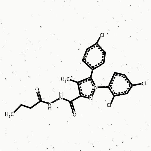 CCCC(=O)NNC(=O)c1nn(-c2ccc(Cl)cc2Cl)c(-c2ccc(Cl)cc2)c1C